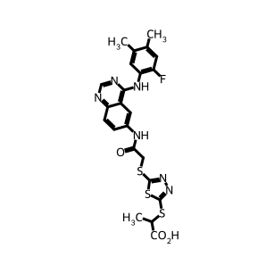 Cc1cc(F)c(Nc2ncnc3ccc(NC(=O)CSc4nnc(SC(C)C(=O)O)s4)cc23)cc1C